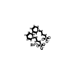 O=S(=O)([O-])CCCN1C=CC=CC1.O=S(=O)([O-])CCCN1C=CC=CC1.[Pd+2]